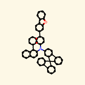 c1ccc(-c2c(N(c3ccc(-c4ccc5c(c4)oc4ccccc45)cc3)c3ccc4c(c3)C3(c5ccccc5-c5ccccc53)c3ccccc3-4)ccc3ccccc23)cc1